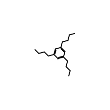 CCCCc1[c]c(CCCC)cc(CCCC)[c]1